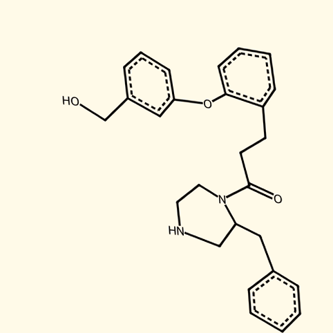 O=C(CCc1ccccc1Oc1cccc(CO)c1)N1CCNCC1Cc1ccccc1